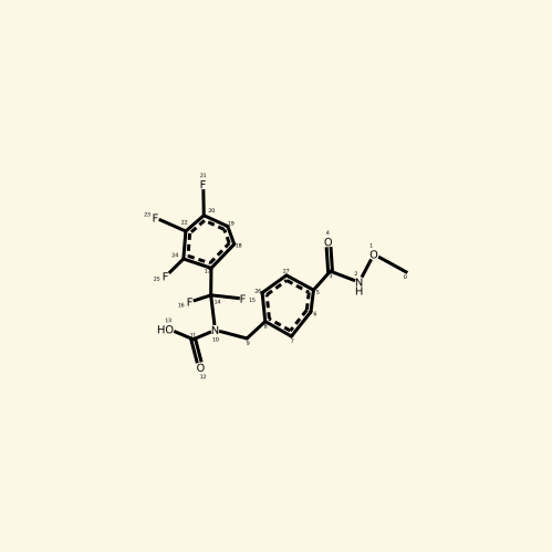 CONC(=O)c1ccc(CN(C(=O)O)C(F)(F)c2ccc(F)c(F)c2F)cc1